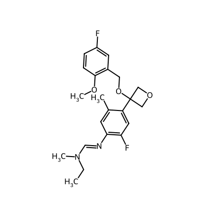 CCN(C)C=Nc1cc(C)c(C2(OCc3cc(F)ccc3OC)COC2)cc1F